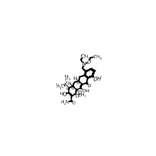 CCON(CC)Cc1ccc(O)c2c1C[C@H]1C[C@H]3[C@H](N(C)C)C(O)=C(C(N)=O)C(=O)[C@@]3(OC)C(O)=C1C2=O